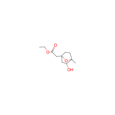 CCOC(=O)CC12CCC(C)(O1)C(O)C2